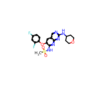 CS(=O)(=O)Nc1nc2nc(NC3CCOCC3)ncc2cc1Oc1ccc(F)cc1F